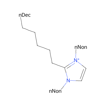 CCCCCCCCCCCCCCCc1n(CCCCCCCCC)cc[n+]1CCCCCCCCC